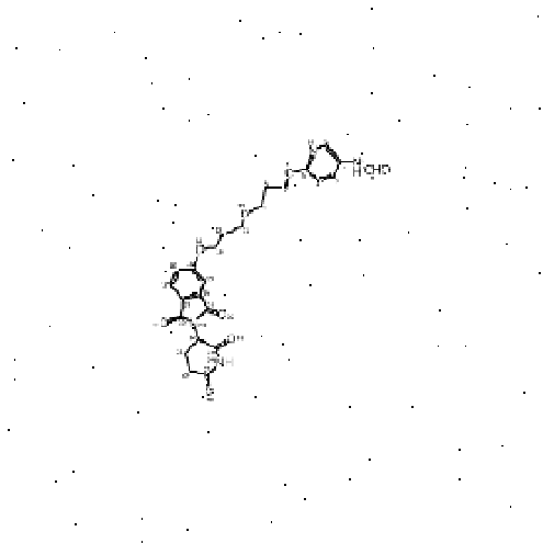 O=CNc1ccc(OCCCOCCCOc2ccc3c(c2)C(=O)N(C2CCC(=O)NC2=O)C3=O)nc1